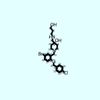 OCCCNCC1(O)CCN(Cc2cc(Br)ccc2OCc2ccc(Cl)cc2)CC1